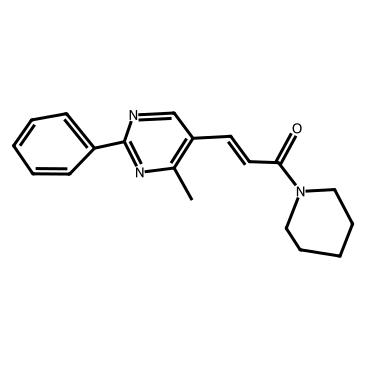 Cc1nc(-c2ccccc2)ncc1/C=C/C(=O)N1CCCCC1